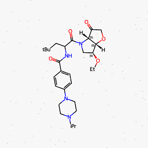 CCO[C@H]1CN(C(=O)C(CC(C)(C)C)NC(=O)c2ccc(N3CCN(C(C)C)CC3)cc2)[C@@H]2C(=O)CO[C@H]12